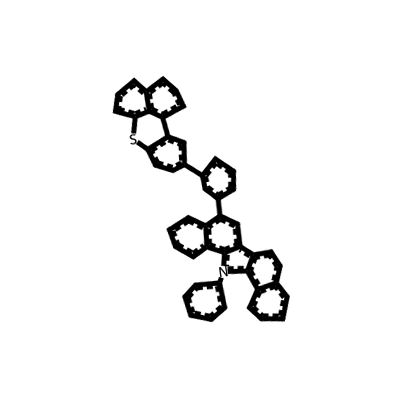 c1ccc(-n2c3c4ccccc4ccc3c3cc(-c4cccc(-c5ccc6c(c5)-c5cccc7cccc(c57)S6)c4)c4ccccc4c32)cc1